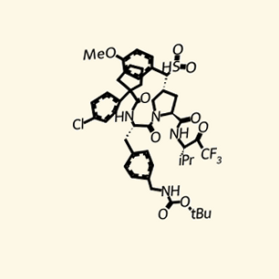 COc1ccc(C([C@@H]2C[C@@H](C(=O)N[C@H](C(=O)C(F)(F)F)C(C)C)N(C(=O)[C@H](Cc3ccc(CNC(=O)OC(C)(C)C)cc3)NC(=O)C3(c4ccc(Cl)cc4)CCCC3)C2)[SH](=O)=O)cc1